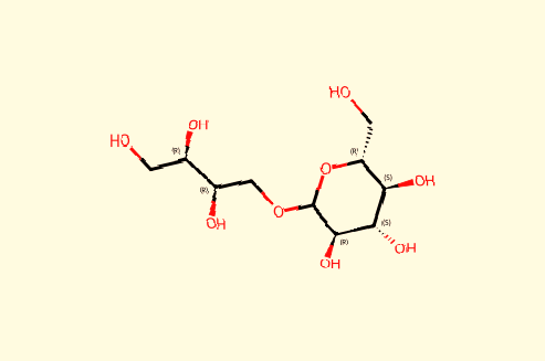 OC[C@@H](O)[C@H](O)COC1O[C@H](CO)[C@@H](O)[C@H](O)[C@H]1O